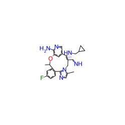 Cc1cnc2n1C/C(C=N)=C(/NCC1CC1)c1cnc(N)c(c1)OC(C)c1cc(F)ccc1-2